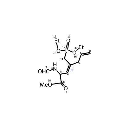 C=CC/C(=C/C(NC=O)C(=O)OC)CP(=O)(OCC)OCC